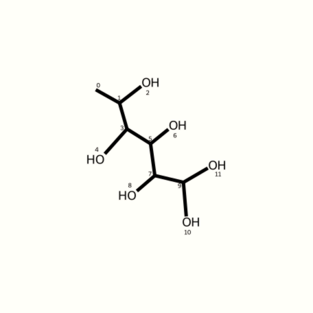 CC(O)C(O)C(O)C(O)C(O)O